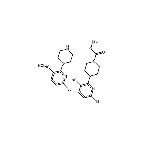 CCc1ccc(C#N)c(N2CCN(C(=O)OC(C)(C)C)CC2)n1.CCc1ccc(C#N)c(N2CCNCC2)n1.Cl